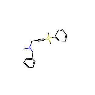 CN(CC#CS(C)(C)c1ccccc1)Cc1ccccc1